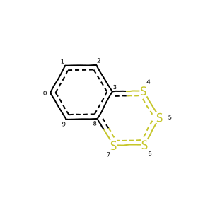 c1ccc2ssssc2c1